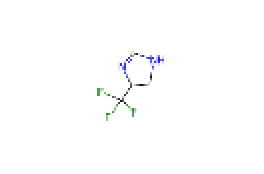 FC(F)(F)C1CN[C]=N1